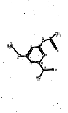 COc1cc(OC(C)=O)cc(C(=O)O)c1